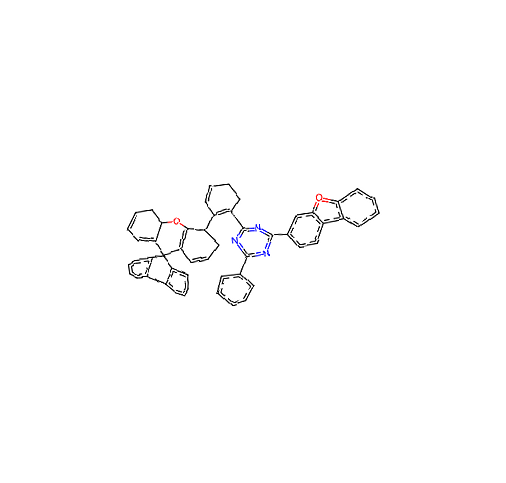 C1=CCC2OC3=C(C=CCC3C3=C(c4nc(-c5ccccc5)nc(-c5ccc6c(c5)oc5ccccc56)n4)CCC=C3)C3(C2=C1)c1ccccc1-c1ccccc13